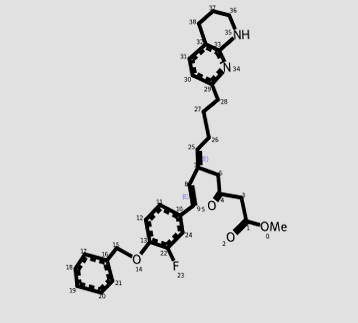 COC(=O)CC(=O)CC(/C=C/c1ccc(OCc2ccccc2)c(F)c1)=C\CCCc1ccc2c(n1)NCCC2